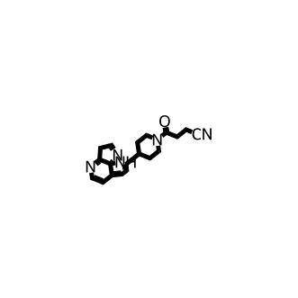 N#CCCC(=O)N1CCC(C2=CC=C3C=CN=C4CC=NC34N2)CC1